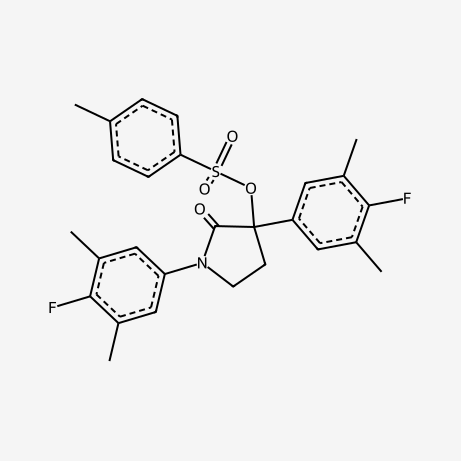 Cc1ccc(S(=O)(=O)OC2(c3cc(C)c(F)c(C)c3)CCN(c3cc(C)c(F)c(C)c3)C2=O)cc1